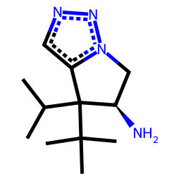 CC(C)C1(C(C)(C)C)c2cnnn2C[C@H]1N